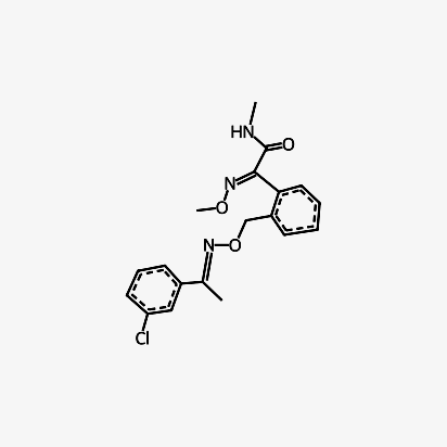 CNC(=O)/C(=N/OC)c1ccccc1CO/N=C(\C)c1cccc(Cl)c1